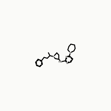 CC(CCc1ccccc1)N1CCC(Nc2nccc(N3CCCCCC3)n2)C1